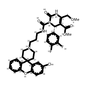 COCC1=C(C(=O)OC)[C@H](c2ccc(F)c(F)c2)N(C(=O)NCCCN2CCC3(CC2)c2ccccc2Oc2ccc(Cl)cc23)C(=O)N1